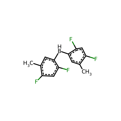 Cc1cc(Bc2cc(C)c(F)cc2F)c(F)cc1F